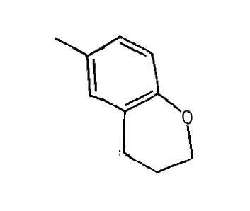 Cc1ccc2c(c1)[C]CCO2